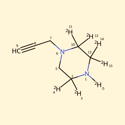 [2H]N1C([2H])([2H])CN(CC#C)C([2H])([2H])C1([2H])[2H]